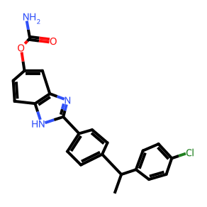 CC(c1ccc(Cl)cc1)c1ccc(-c2nc3cc(OC(N)=O)ccc3[nH]2)cc1